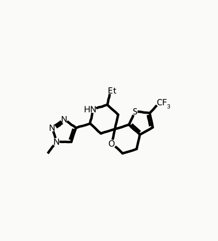 CCC1CC2(CC(c3cn(C)nn3)N1)OCCc1cc(C(F)(F)F)sc12